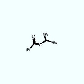 CCCCC(CCC)OC(=O)C(C)C